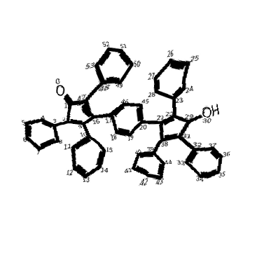 O=C1C(c2ccccc2)=C(c2ccccc2)C(c2ccc(C3=C(c4ccccc4)C(O)C(c4ccccc4)=C3c3ccccc3)cc2)=C1c1ccccc1